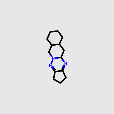 C1CC2=NC3CC4CCCCC4CN3N=C2C1